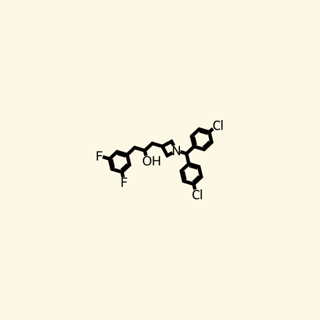 OC(Cc1cc(F)cc(F)c1)CC1CN(C(c2ccc(Cl)cc2)c2ccc(Cl)cc2)C1